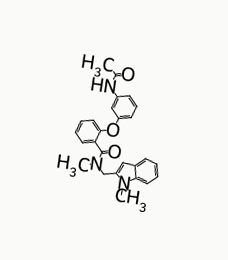 CC(=O)Nc1cccc(Oc2ccccc2C(=O)N(C)Cc2cc3ccccc3n2C)c1